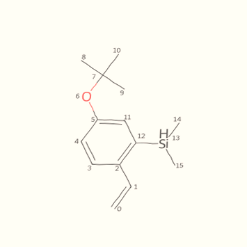 C=Cc1ccc(OC(C)(C)C)cc1[SiH](C)C